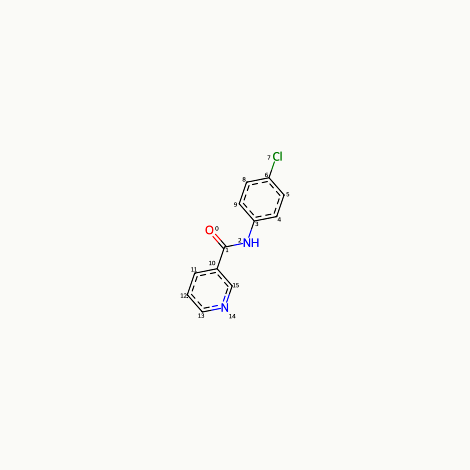 O=C(Nc1ccc(Cl)cc1)c1c[c]cnc1